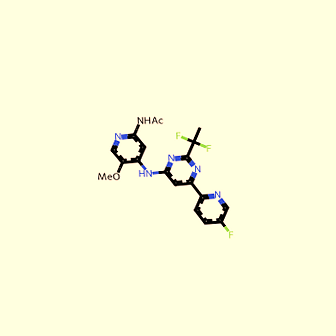 COc1cnc(NC(C)=O)cc1Nc1cc(-c2ccc(F)cn2)nc(C(C)(F)F)n1